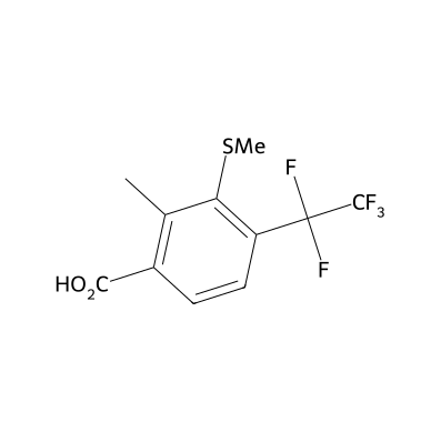 CSc1c(C(F)(F)C(F)(F)F)ccc(C(=O)O)c1C